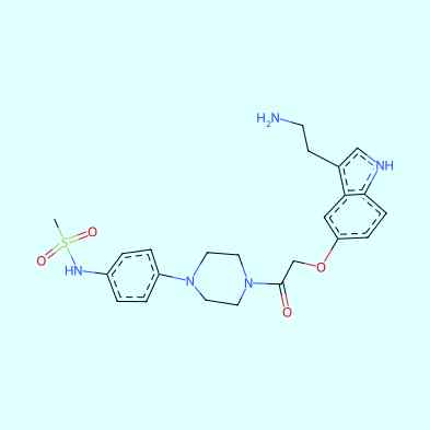 CS(=O)(=O)Nc1ccc(N2CCN(C(=O)COc3ccc4[nH]cc(CCN)c4c3)CC2)cc1